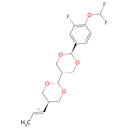 C/C=C/[C@H]1CO[C@H]([C@H]2CO[C@H](c3ccc(OC(F)F)c(F)c3)OC2)OC1